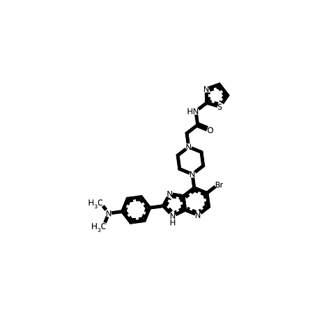 CN(C)c1ccc(-c2nc3c(N4CCN(CC(=O)Nc5nccs5)CC4)c(Br)cnc3[nH]2)cc1